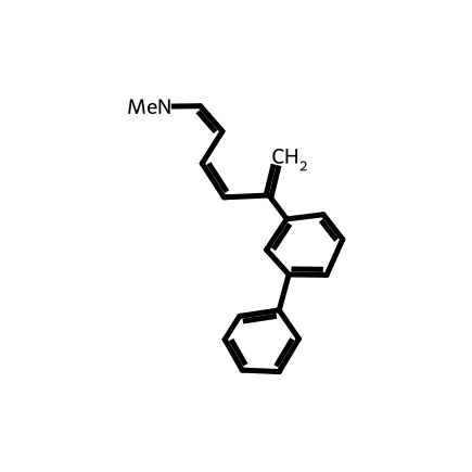 C=C(/C=C\C=C/NC)c1cccc(-c2ccccc2)c1